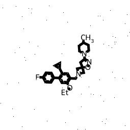 CCOc1cc(-c2ccc(F)cc2)c(C2CC2)cc1CN1CC2(CC(N3CCC(C)CC3)=NO2)C1